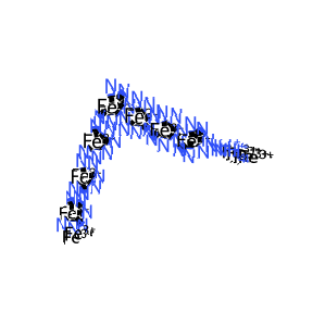 N#[C][Fe-3]([C]#N)([C]#N)([C]#N)([C]#N)[C]#N.N#[C][Fe-3]([C]#N)([C]#N)([C]#N)([C]#N)[C]#N.N#[C][Fe-3]([C]#N)([C]#N)([C]#N)([C]#N)[C]#N.N#[C][Fe-3]([C]#N)([C]#N)([C]#N)([C]#N)[C]#N.N#[C][Fe-3]([C]#N)([C]#N)([C]#N)([C]#N)[C]#N.N#[C][Fe-3]([C]#N)([C]#N)([C]#N)([C]#N)[C]#N.N#[C][Fe-3]([C]#N)([C]#N)([C]#N)([C]#N)[C]#N.[Fe+3].[Fe+3].[Fe+3].[Fe+3].[Fe+3].[Fe+3].[NH4+].[NH4+].[NH4+]